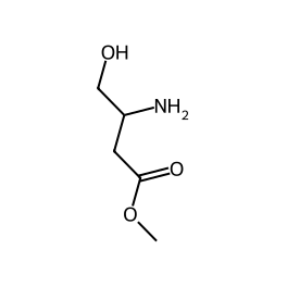 COC(=O)CC(N)CO